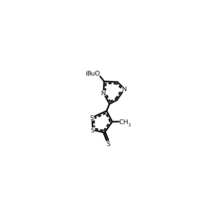 Cc1c(-c2cncc(OCC(C)C)n2)ssc1=S